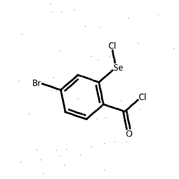 O=C(Cl)c1ccc(Br)cc1[Se]Cl